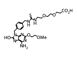 COCCOc1nc(N)c2nc(O)n(Cc3ccc(CNC(=S)NCCOCCOCCC(=O)O)cc3)c2n1